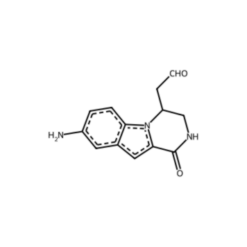 Nc1ccc2c(c1)cc1n2C(CC=O)CNC1=O